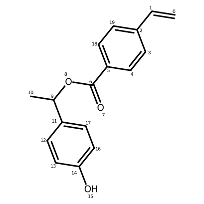 C=Cc1ccc(C(=O)OC(C)c2ccc(O)cc2)cc1